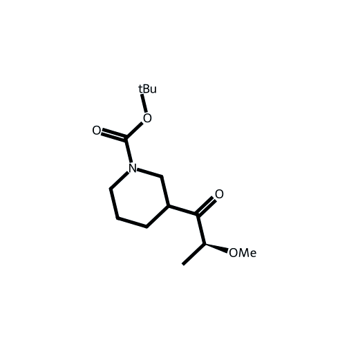 CO[C@@H](C)C(=O)C1CCCN(C(=O)OC(C)(C)C)C1